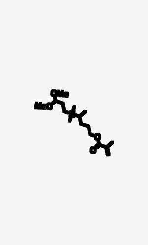 C=C(C)C(=O)OCCCC(C)[Si](C)(C)CCC(OC)OC